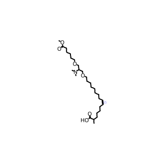 COC(=O)CCCCCOCC(COCCCCCCCC/C=C\CCCCC(C)C(=O)O)N(C)C